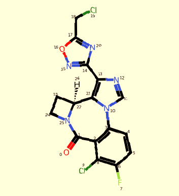 O=C1c2c(ccc(F)c2Cl)-n2cnc(-c3noc(CCl)n3)c2[C@@H]2CCN12